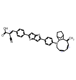 C=C1/C=C\C=C/CN(c2ccc(-c3cc4sc(-c5ccc(/C=C(\C#N)C(=O)O)cc5)cc4s3)cc2)C2C3CCC(C3)C12